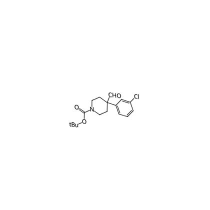 CC(C)(C)OC(=O)N1CCC(C=O)(c2cccc(Cl)c2)CC1